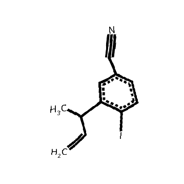 C=C[C](C)c1cc(C#N)ccc1I